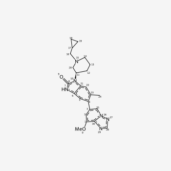 COc1cc(-c2cc3[nH]c(=O)n([C@@H]4CCCN(CC5CC5)C4)c3cc2C)cn2ncnc12